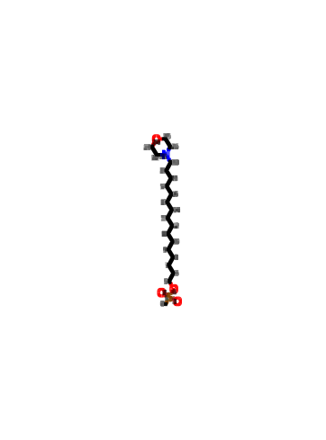 CS(=O)(=O)OCCCCCCCCCCCCCCCCN1CCOCC1